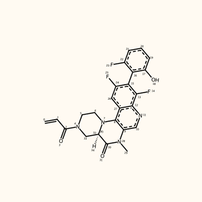 C=CC(=O)N1CCN2c3c(cnc4c(F)c(-c5c(O)cccc5F)c(F)cc34)N(C)C(=O)[C@H]2C1